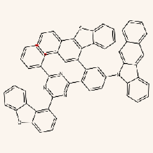 c1ccc(-c2nc(-c3ccc(-n4c5ccccc5c5cc6ccccc6cc54)cc3-c3cc4ccccc4c4sc5ccccc5c34)nc(-c3cccc4oc5ccccc5c34)n2)cc1